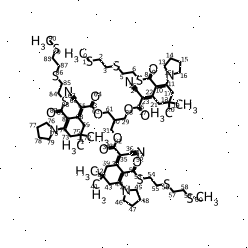 CSCCSCCSC(=O)C1=C(N2CCCC2)CC(C)(C)C/C1=C(/C#N)C(=O)OCC(COC(=O)/C(C#N)=C1\CC(C)(C)CC(N2CCCC2)=C1C(=O)SCCSCCSC)COC(=O)/C(C#N)=C1\CC(C)(C)CC(N2CCCC2)=C1C(=O)SCCSCCSC